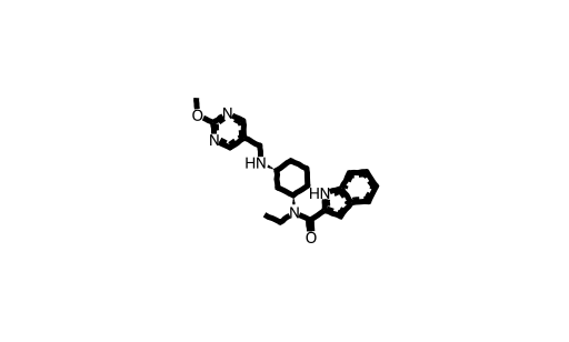 CCN(C(=O)c1cc2ccccc2[nH]1)[C@H]1CCC[C@@H](NCc2cnc(OC)nc2)C1